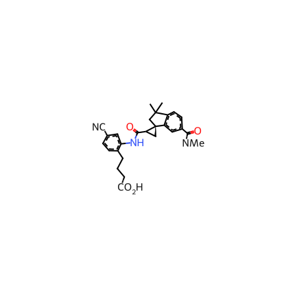 CNC(=O)c1ccc2c(c1)[C@@]1(CC1C(=O)Nc1cc(C#N)ccc1CCCC(=O)O)CC2(C)C